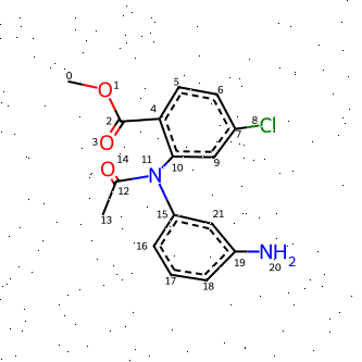 COC(=O)c1ccc(Cl)cc1N(C(C)=O)c1cccc(N)c1